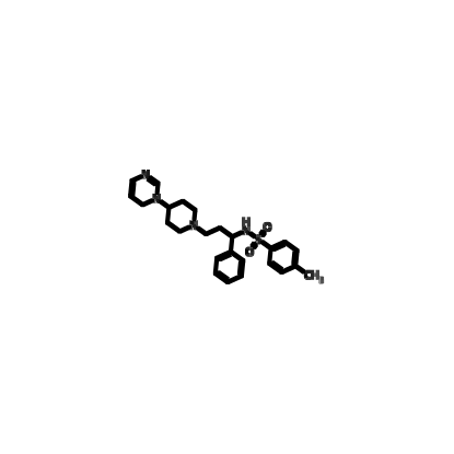 Cc1ccc(S(=O)(=O)NC(CCN2CCC(N3C=NC=CC3)CC2)c2ccccc2)cc1